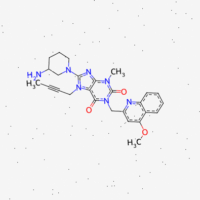 CC#CCn1c(N2CCCC(N)C2)nc2c1c(=O)n(Cc1cc(OC)c3ccccc3n1)c(=O)n2C